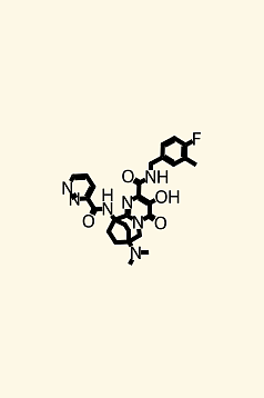 Cc1cc(CNC(=O)c2nc3n(c(=O)c2O)CC2(N(C)C)CCC3(NC(=O)c3cccnn3)CC2)ccc1F